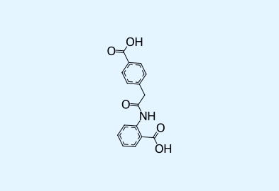 O=C(Cc1ccc(C(=O)O)cc1)Nc1ccccc1C(=O)O